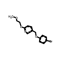 COCCOc1ccc(COc2ccc(Br)cc2)cn1